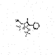 CC1=C(c2ccccc2)[Si](O[Si](C)(C)C)(O[Si](C)(C)C)C1CC(C)(C)C